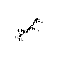 PNCCCN(P)CCCCN(P)CCCNP